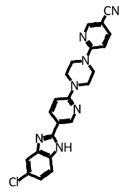 N#Cc1ccc(N2CCN(c3ccc(-c4nc5cc(Cl)ccc5[nH]4)cn3)CC2)nc1